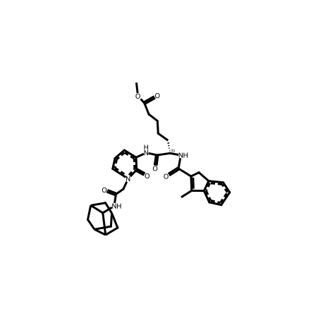 COC(=O)CCCC[C@H](NC(=O)C1=C(C)c2ccccc2C1)C(=O)Nc1cccn(CC(=O)NC2C3CC4CC(C3)C2C4)c1=O